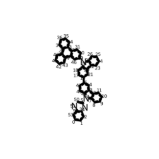 c1ccc2nc(-n3c4ccccc4c4cc(-c5ccc6c(c5)c5ccccc5n6-c5ccc6c7ccccc7c7ccccc7c6c5)ccc43)cnc2c1